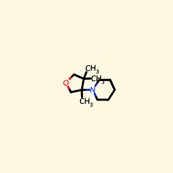 CC1(C)COCC1(C)N1CCCCC1